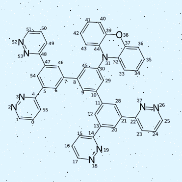 c1cnnc(-c2cc(-c3cc(-c4cc(-c5cccnn5)cc(-c5cccnn5)c4)cc(N4c5ccccc5Oc5ccccc54)c3)cc(-c3cccnn3)c2)c1